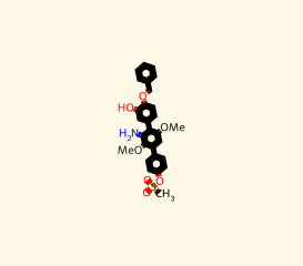 COc1cc(-c2ccc(OS(C)(=O)=O)cc2)c(OC)c(N)c1-c1ccc(OCc2ccccc2)c(O)c1